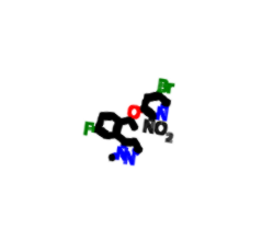 CC(Oc1cc(Br)cnc1[N+](=O)[O-])c1ccc(F)cc1-c1ccnn1C